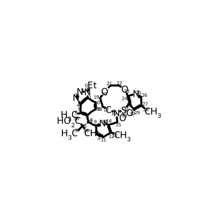 CCn1nnc2c(C)c([C@H](c3ccc(C)c(CN4CCCOCCOc5ncc(C)cc5S4(=O)=O)n3)C(C)(C)C(=O)O)ccc21